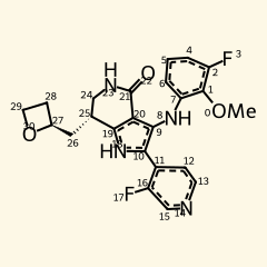 COc1c(F)cccc1Nc1c(-c2ccncc2F)[nH]c2c1C(=O)NC[C@H]2C[C@@H]1CCO1